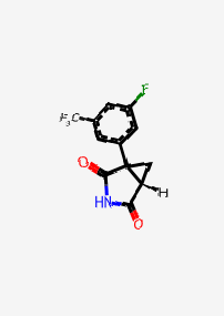 O=C1NC(=O)C2(c3cc(F)cc(C(F)(F)F)c3)C[C@H]12